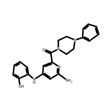 Nc1cc(Nc2ccccc2O)cc(C(=O)N2CCN(c3ccccc3)CC2)n1